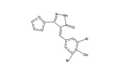 O=C1NN=C(c2ccco2)C1=Cc1cc(Br)c(O)c(Br)c1